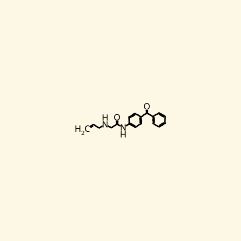 C=CCNCC(=O)Nc1ccc(C(=O)c2ccccc2)cc1